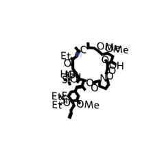 C=CCCC1(O[Si](CC)(CC)CC)CCC(C=C(C)C2OC(=O)C3CCCCN3C(=O)C(=O)C3(O)OC(C(OC)CC(C)C/C(C)=C/C(CC)C(=O)CC(O)(O[Si](C)(C)C(C)(C)C)C2C)C(OC)CC3C)CC1OC